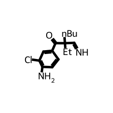 CCCCC(C=N)(CC)C(=O)c1ccc(N)c(Cl)c1